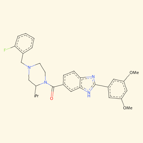 COc1cc(OC)cc(-c2nc3ccc(C(=O)N4CCN(Cc5ccccc5F)CC4C(C)C)cc3[nH]2)c1